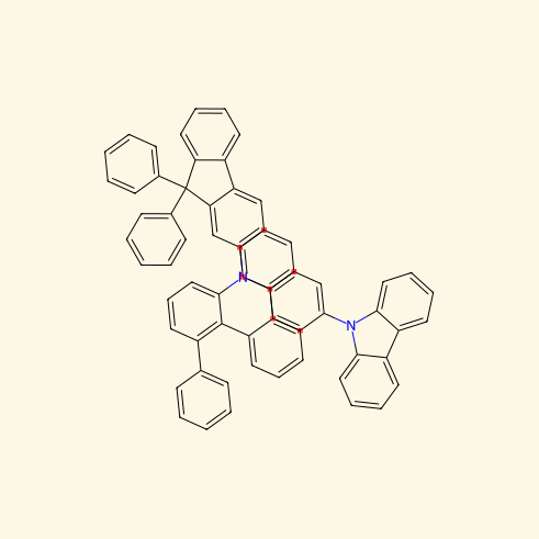 c1ccc(-c2ccccc2-c2c(-c3ccccc3)cccc2N(c2ccc(-n3c4ccccc4c4ccccc43)cc2)c2ccc3c(c2)C(c2ccccc2)(c2ccccc2)c2ccccc2-3)cc1